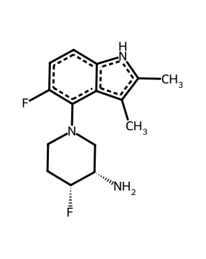 Cc1[nH]c2ccc(F)c(N3CC[C@@H](F)[C@@H](N)C3)c2c1C